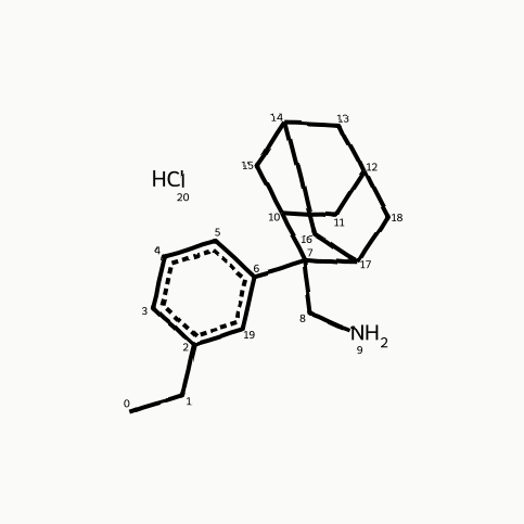 CCc1cccc(C2(CN)C3CC4CC(C3)CC2C4)c1.Cl